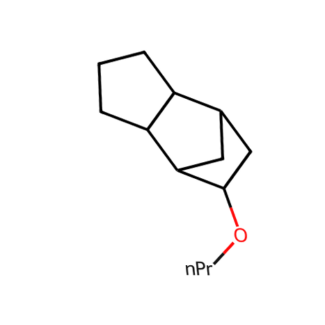 CCCOC1CC2CC1C1CCCC21